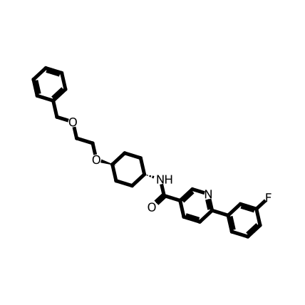 O=C(N[C@H]1CC[C@H](OCCOCc2ccccc2)CC1)c1ccc(-c2cccc(F)c2)nc1